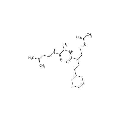 CC(=O)SCCN(CCC1CCCCC1)C(=O)NC(C)C(=O)NCCN(C)C